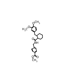 COC(=O)c1ccc(CNC(=O)C2CCCCC2Cc2ccc(OC)c(OC)c2)cc1